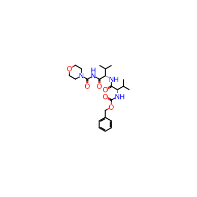 CC(C)[C@H](NC(=O)OCc1ccccc1)C(=O)N[C@H](C(=O)NC(=O)N1CCOCC1)C(C)C